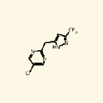 FC(F)(F)c1cc(Cc2ncc(Cl)cn2)[nH]n1